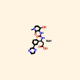 Cn1ccc(O)c(NC(=O)NC(CC(=O)O)c2cccc(-c3cnccn3)c2)c1=O.[NaH]